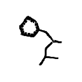 CC(C)CN(C)Cc1c[c]ccn1